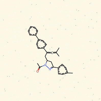 CC(=O)N1N=C(c2ccc(C)cc2)CC1CC(=C=C(C)C)c1ccc(-c2ccccc2)cc1